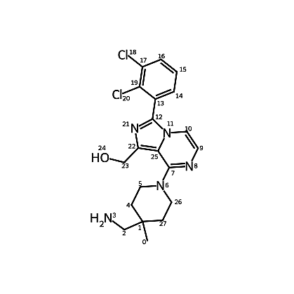 CC1(CN)CCN(c2nccn3c(-c4cccc(Cl)c4Cl)nc(CO)c23)CC1